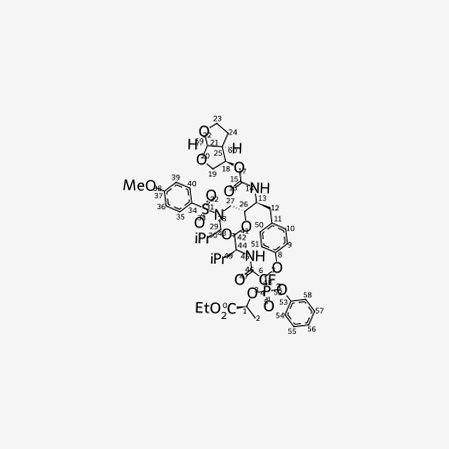 CCOC(=O)[C@H](C)OP(=O)(COc1ccc(C[C@H](NC(=O)O[C@H]2CO[C@H]3OCC[C@H]32)[C@@H](CN(CC(C)C)S(=O)(=O)c2ccc(OC)cc2)OC(=O)[C@@H](NC(=O)C(F)(F)F)C(C)C)cc1)Oc1ccccc1